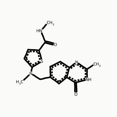 CNC(=O)c1ccc(N(C)Cc2ccc3nc(C)[nH]c(=O)c3c2)s1